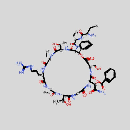 CC[C@H](C)[C@@H]1NC(=O)[C@@H](CCCNC(=N)N)NC(=O)[C@H](CC(C)C)NC(=O)[C@H]([C@H](O)C(C)C)NC(=O)[C@@H](NC(=O)[C@H](CC(C)C)NC(=O)[C@H](N)CC(C)C)[C@@H](c2ccccc2)OC(=O)[C@H](CO)NC(=O)[C@H]([C@H](OC(=O)c2ccccc2)C(N)=O)NC(=O)CNC(=O)[C@H]([C@H](C)O)NC1=O